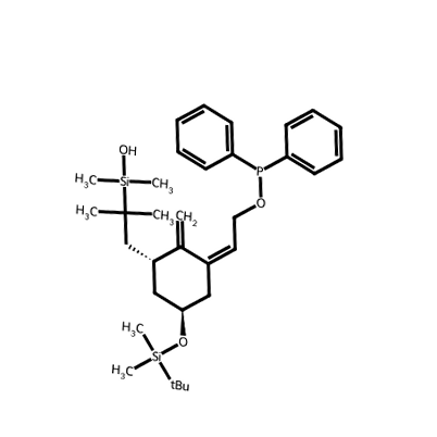 C=C1/C(=C\COP(c2ccccc2)c2ccccc2)C[C@@H](O[Si](C)(C)C(C)(C)C)C[C@@H]1CC(C)(C)[Si](C)(C)O